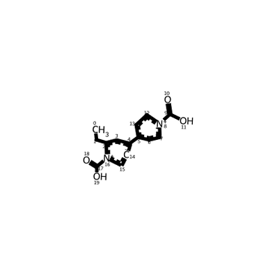 CCc1cc(-c2cc[n+](C(=O)O)cc2)cc[n+]1C(=O)O